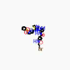 O=C(C=CCBr)Nc1ccc(C(=O)Nc2cccc(Nc3nc(Nc4cnc5c(ccn5S(=O)(=O)c5ccccc5)c4)c4sccc4n3)c2)cc1